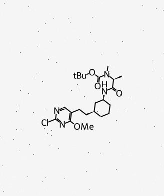 COc1nc(Cl)ncc1CC[C@@H]1CCC[C@H](NC(=O)[C@H](C)N(C)C(=O)OC(C)(C)C)C1